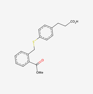 COC(=O)c1ccccc1CSc1ccc(CCC(=O)O)cc1